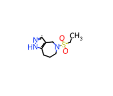 CCS(=O)(=O)N1CCCc2[nH]n[c]c2C1